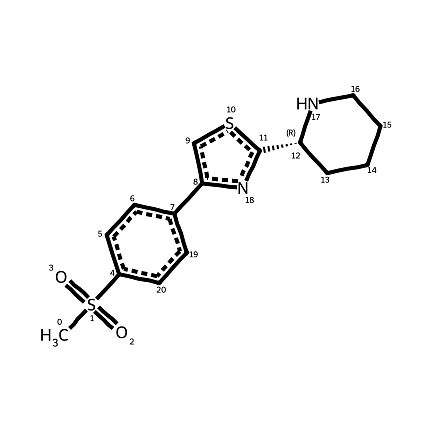 CS(=O)(=O)c1ccc(-c2csc([C@H]3CCCCN3)n2)cc1